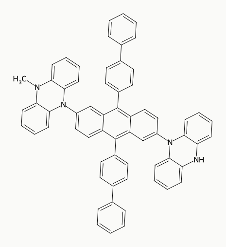 CN1c2ccccc2N(c2ccc3c(-c4ccc(-c5ccccc5)cc4)c4cc(N5c6ccccc6Nc6ccccc65)ccc4c(-c4ccc(-c5ccccc5)cc4)c3c2)c2ccccc21